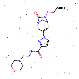 C=CCON1C(=O)N2CC(n3ccc(C(=O)NCCN4CCOCC4)n3)=CC1C2